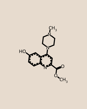 COC(=O)c1cc(N2CCN(C)CC2)c2cc(O)ccc2n1